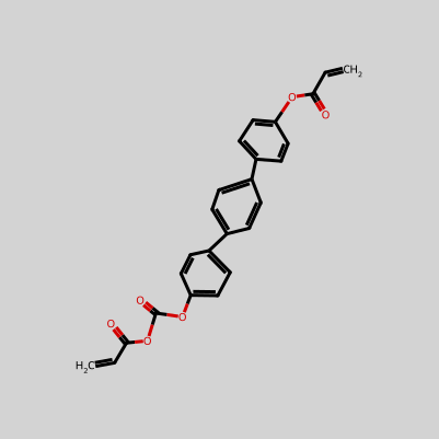 C=CC(=O)OC(=O)Oc1ccc(-c2ccc(-c3ccc(OC(=O)C=C)cc3)cc2)cc1